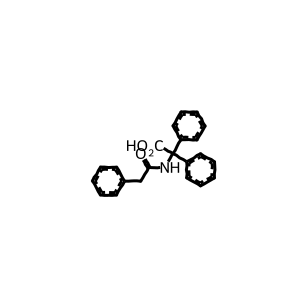 O=C(Cc1ccccc1)NC(C(=O)O)(c1ccccc1)c1ccccc1